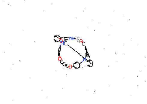 c1cc2c3cc1COCc1ccc4c(c1)c1cc5ncc1n4-c1ccc(cc1)OCCCOc1ccc(cc1)-n2c1ccc(cc31)COC5